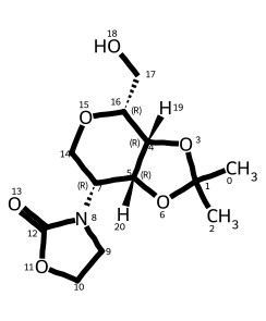 CC1(C)O[C@@H]2[C@H](O1)[C@H](N1CCOC1=O)CO[C@@H]2CO